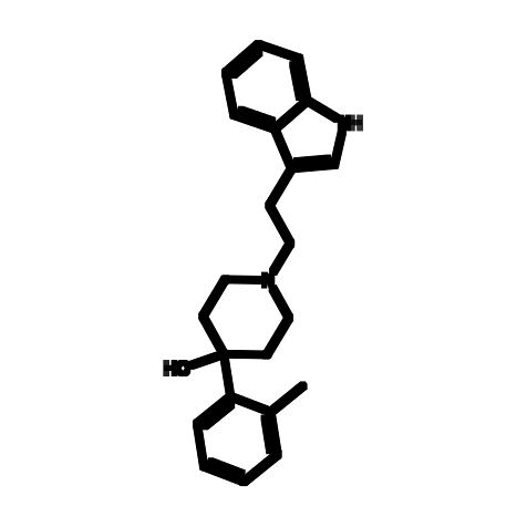 Cc1ccccc1C1(O)CCN(CCc2c[nH]c3ccccc23)CC1